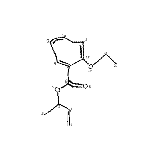 C=CC(C)OC(=O)c1ccccc1OCC